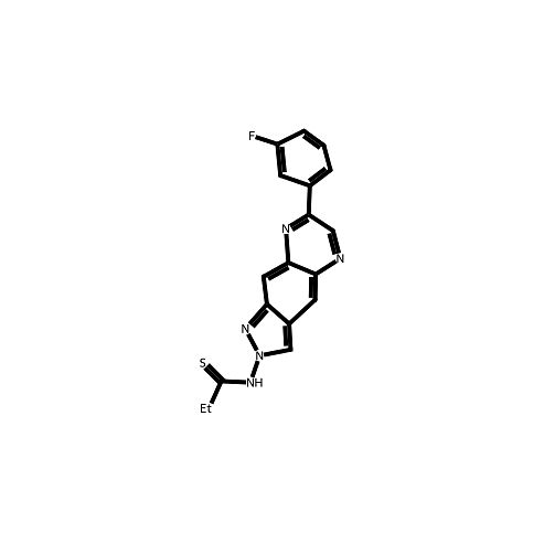 CCC(=S)Nn1cc2cc3ncc(-c4cccc(F)c4)nc3cc2n1